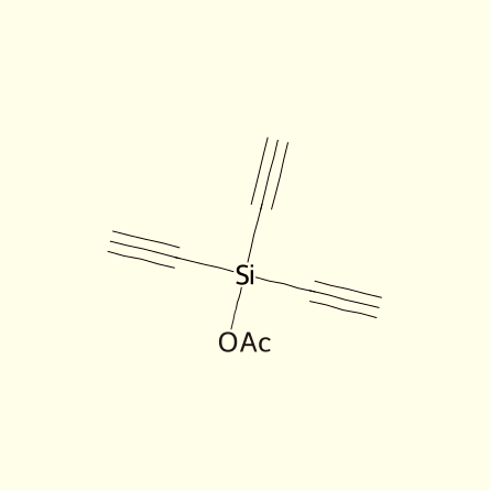 C#C[Si](C#C)(C#C)OC(C)=O